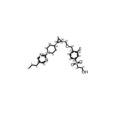 CCCc1cnc(N2CCC([C@H]3C[C@H]3COCc3ccc(S(=O)(=O)CCO)cc3F)CC2)nc1